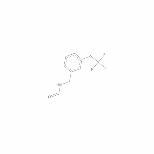 O=CNCc1cccc(SC(F)(F)F)c1